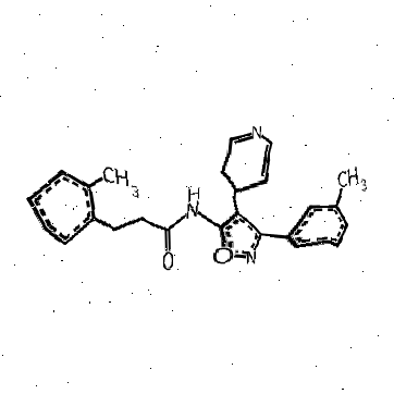 Cc1cccc(-c2noc(NC(=O)CCc3ccccc3C)c2C2C=CN=CC2)c1